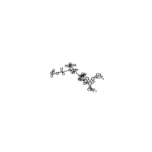 CCN(CC)c1ccc2c(-c3ccccc3C(=O)N3CCCC3C(=O)NC(CS(=O)(=O)O)C(=O)NCCCCC(=O)NC(CCP(=O)(O)O)C(=O)NCCCCC(=O)NCCOCCN3C(=O)C=CC3=O)c3ccc(N(CC)CC)cc3[o+]c2c1